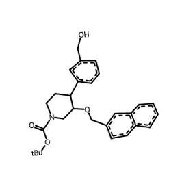 CC(C)(C)OC(=O)N1CCC(c2cccc(CO)c2)C(OCc2ccc3ccccc3c2)C1